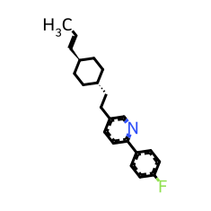 CC=C[C@H]1CC[C@H](CCc2ccc(-c3ccc(F)cc3)nc2)CC1